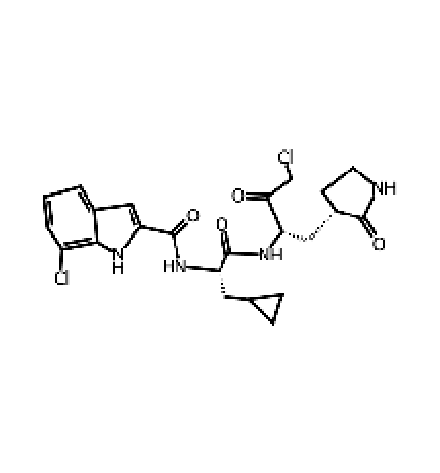 O=C(N[C@@H](CC1CC1)C(=O)N[C@@H](C[C@@H]1CCNC1=O)C(=O)CCl)c1cc2cccc(Cl)c2[nH]1